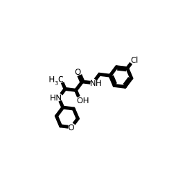 CC(NC1CCOCC1)C(O)C(=O)NCc1cccc(Cl)c1